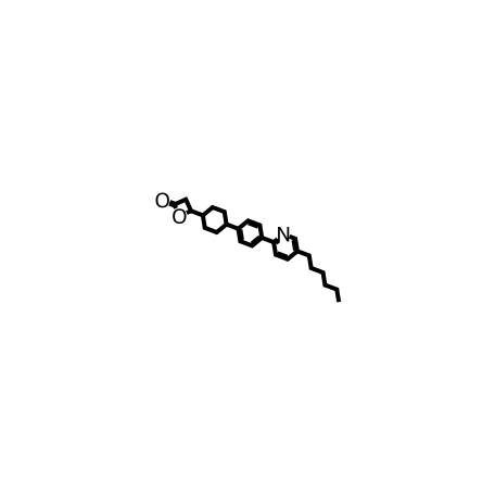 CCCCCCc1ccc(-c2ccc(C3CCC(C4CC(=O)O4)CC3)cc2)nc1